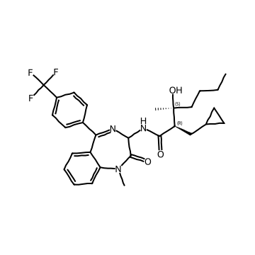 CCCC[C@](C)(O)[C@@H](CC1CC1)C(=O)NC1N=C(c2ccc(C(F)(F)F)cc2)c2ccccc2N(C)C1=O